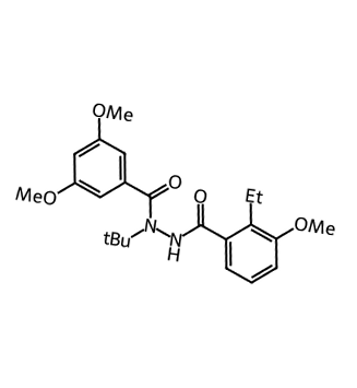 CCc1c(OC)cccc1C(=O)NN(C(=O)c1cc(OC)cc(OC)c1)C(C)(C)C